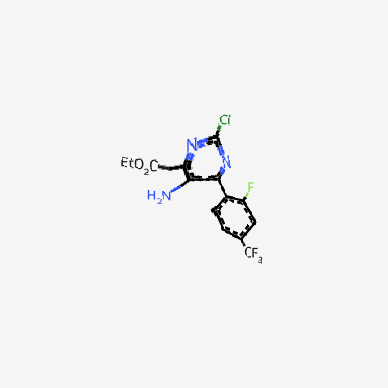 CCOC(=O)c1nc(Cl)nc(-c2ccc(C(F)(F)F)cc2F)c1N